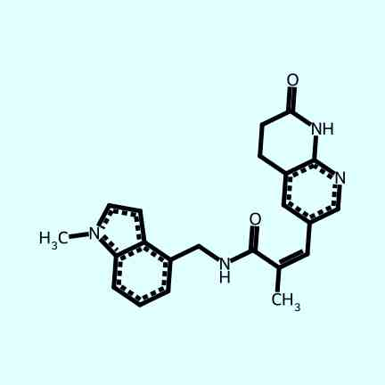 CC(=Cc1cnc2c(c1)CCC(=O)N2)C(=O)NCc1cccc2c1ccn2C